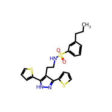 CCCc1cccc(S(=O)(=O)NCCc2c(-c3cccs3)n[nH]c2-c2cccs2)c1